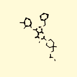 Cn1c(N2CCC(C)(CNC(=O)OC(C)(C)C)CC2)nc2c(c(Sc3cccc(Cl)c3Cl)nn2Cc2ccccc2)c1=O